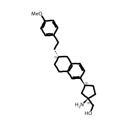 COc1ccc(CC[C@H]2CCc3cc([C@H]4CC[C@](N)(CO)C4)ccc3C2)cc1